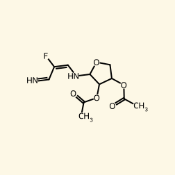 CC(=O)OC1COC(N/C=C(/F)C=N)C1OC(C)=O